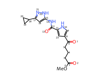 COC(=O)CCCC(=O)c1c[nH]c(C(=O)Nc2cc(C3CC3)n[nH]2)c1